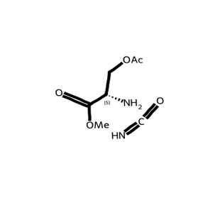 COC(=O)[C@@H](N)COC(C)=O.N=C=O